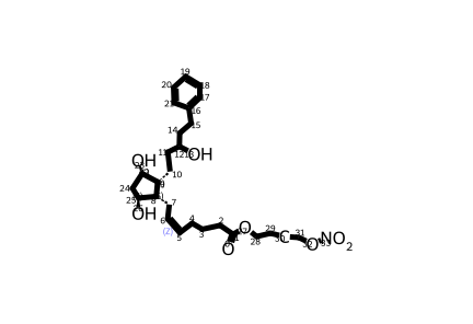 O=C(CCC/C=C\C[C@H]1[C@@H](CCC(O)CCc2ccccc2)[C@@H](O)C[C@@H]1O)OCCCCO[N+](=O)[O-]